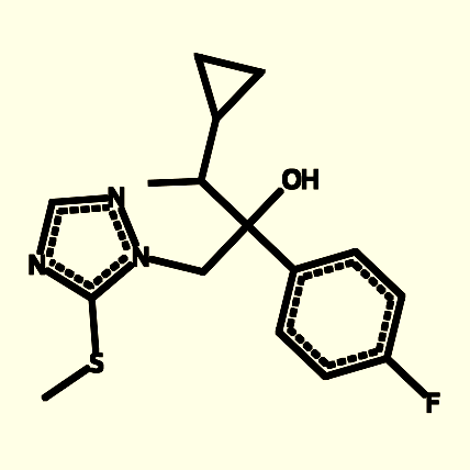 CSc1ncnn1CC(O)(c1ccc(F)cc1)C(C)C1CC1